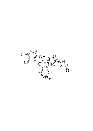 O=C(Nc1ccc(Cl)c(Cl)c1)c1c(-c2ccnc(F)c2)c2oc1cc2NCCO